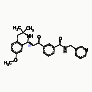 COc1ccc2c(c1)/C(=C/C(=O)c1cccc(C(=O)NCc3cccnc3)c1)NC(C)(C)C2